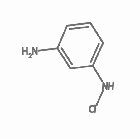 Nc1cccc(NCl)c1